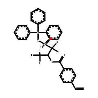 C=Cc1ccc(C(=O)OC(C(F)(F)F)C(F)(F)S(=O)(=O)OS(c2ccccc2)(c2ccccc2)c2ccccc2)cc1